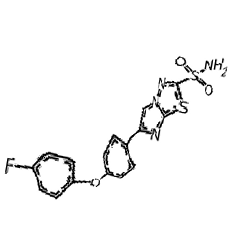 NS(=O)(=O)c1nn2cc(-c3ccc(Oc4ccc(F)cc4)cc3)nc2s1